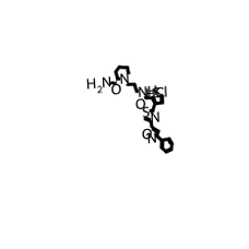 Cl.NC(=O)[C@@H]1CCCCN1CCCNC(=O)c1sccc1-c1nc(-c2cc(-c3ccccc3)no2)cs1